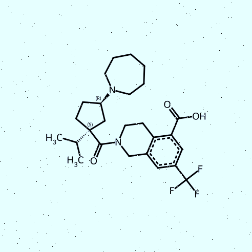 CC(C)[C@]1(C(=O)N2CCc3c(cc(C(F)(F)F)cc3C(=O)O)C2)CC[C@@H](N2CCCCCC2)C1